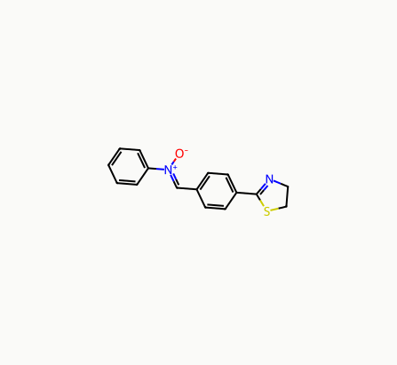 [O-][N+](=Cc1ccc(C2=NCCS2)cc1)c1ccccc1